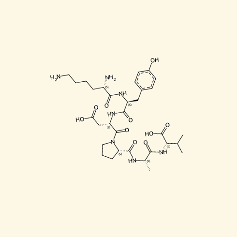 CC(C)[C@H](NC(=O)[C@H](C)NC(=O)[C@@H]1CCCN1C(=O)[C@H](CC(=O)O)NC(=O)[C@H](Cc1ccc(O)cc1)NC(=O)[C@@H](N)CCCCN)C(=O)O